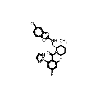 C[C@@H]1CCCN(C(=O)c2c(F)cc(F)cc2-n2nccn2)[C@@H]1CNc1nc2cc(Cl)ccc2o1